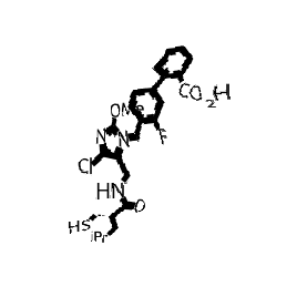 COc1nc(Cl)c(CNC(=O)[C@@H](CS)CC(C)C)n1Cc1ccc(-c2ccccc2C(=O)O)cc1F